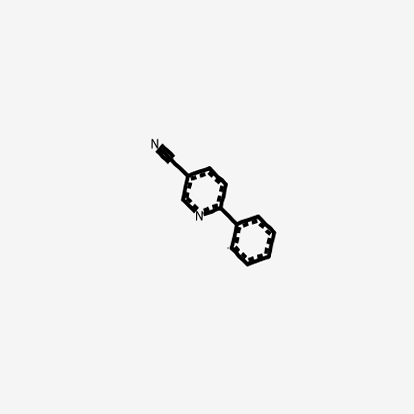 N#Cc1ccc(-c2[c]cccc2)nc1